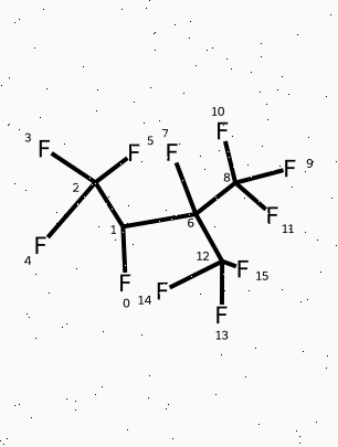 FC(C(F)(F)F)C(F)(C(F)(F)F)C(F)(F)F